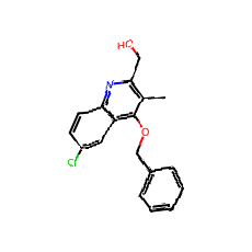 Cc1c(CO)nc2ccc(Cl)cc2c1OCc1ccccc1